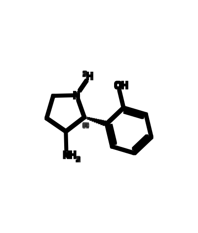 [2H]N1CCC(N)[C@H]1c1ccccc1O